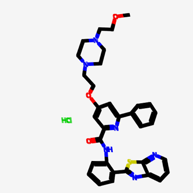 COCCN1CCN(CCOc2cc(C(=O)Nc3ccccc3-c3nc4cccnc4s3)nc(-c3ccccc3)c2)CC1.Cl